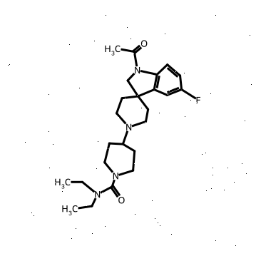 CCN(CC)C(=O)N1CCC(N2CCC3(CC2)CN(C(C)=O)c2ccc(F)cc23)CC1